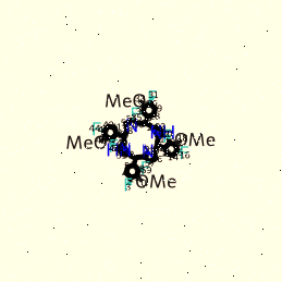 COc1c(F)ccc(-c2c3nc(c(-c4ccc(F)c(OC)c4F)c4ccc([nH]4)c(-c4ccc(F)c(OC)c4F)c4nc(c(-c5ccc(F)c(OC)c5F)c5ccc2[nH]5)C=C4)C=C3)c1F